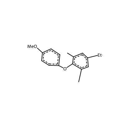 C[CH]c1cc(C)c(Oc2ccc(OC)cc2)c(C)c1